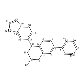 CN1Cc2cc(-c3cnccn3)ccc2C(c2ccc3ccoc3c2)C1